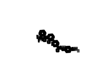 Nc1ccc(CNC(=O)c2ccc(N3CCCN(C(=O)c4ccccc4C(F)(F)F)C3=O)nc2)cc1